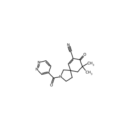 CC1(C)CC2(C=C(C#N)C1=O)CCN(C(=O)c1ccnnc1)C2